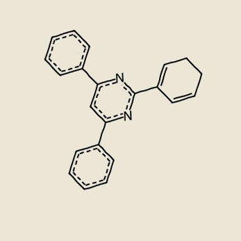 C1=CC(c2nc(-c3ccccc3)cc(-c3ccccc3)n2)=CCC1